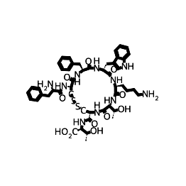 C[C@@H](O)[C@H](NC(=O)[C@@H]1CSSC[C@H](NC(=O)[C@H](N)Cc2ccccc2)C(=O)N[C@@H](Cc2ccccc2)C(=O)N[C@H](Cc2c[nH]c3ccccc23)C(=O)N[C@@H](CCCCN)C(=O)N[C@@H]([C@@H](C)O)C(=O)N1)C(=O)O